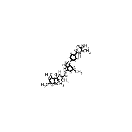 Cc1cc(C)c(S(=O)(=O)N[C@@H](C)CNc2cc(C)cc3c2cnn3-c2ccc(C(=O)N[C@@H](C)C(N)=O)cc2)c(C)c1